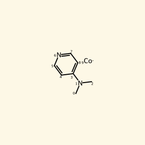 CN(C)c1ccncc1.[Co]